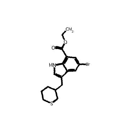 CCOC(=O)c1cc(Br)cc2c(CC3CCCSC3)c[nH]c12